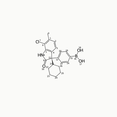 Cc1ccc2c(c1Cl)NC(=O)[C@]2(c1ccc(B(O)O)cc1)C1CCCCC1